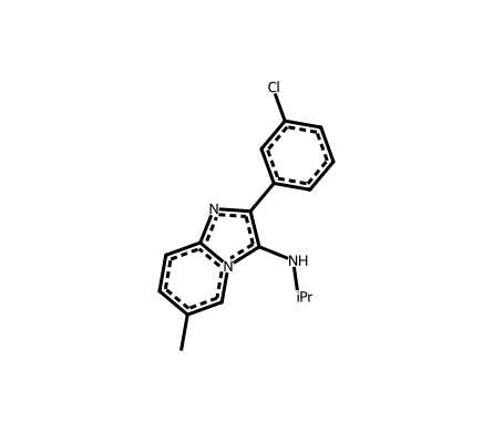 Cc1ccc2nc(-c3cccc(Cl)c3)c(NC(C)C)n2c1